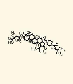 CC(C)NC(=O)N1CCN(C(=O)[C@@]23CC[C@]4(C)[C@H](CC[C@@H]5[C@@]6(C)CC[C@H](OC(=O)CC(C)(C)C(=O)O)C(C)(C)[C@@H]6CC[C@]54C)C2=C(C(C)C)C(=O)C3)CC1